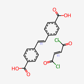 O=C(Cl)/C=C/C(=O)Cl.O=C(O)c1ccc(/C=C/c2ccc(C(=O)O)cc2)cc1